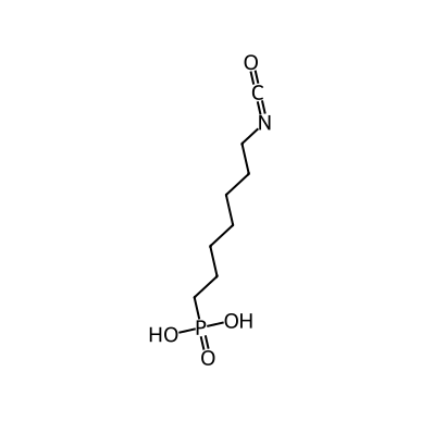 O=C=NCCCCCCCP(=O)(O)O